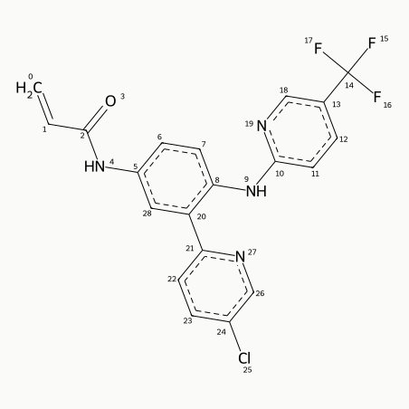 C=CC(=O)Nc1ccc(Nc2ccc(C(F)(F)F)cn2)c(-c2ccc(Cl)cn2)c1